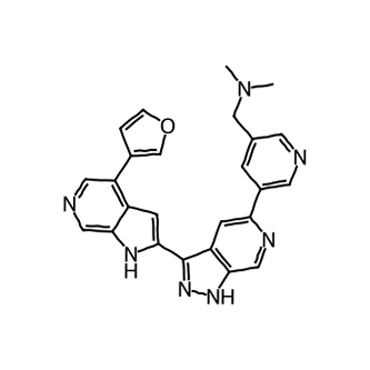 CN(C)Cc1cncc(-c2cc3c(-c4cc5c(-c6ccoc6)cncc5[nH]4)n[nH]c3cn2)c1